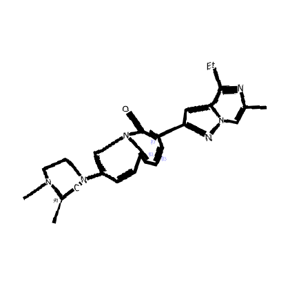 CCc1nc(C)cn2nc(C3=C\C(=O)N4C=C(N5CCN(C)[C@H](C)C5)C=C\C4=C/C=C/3)cc12